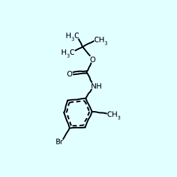 Cc1cc(Br)ccc1NC(=O)OC(C)(C)C